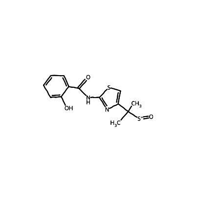 CC(C)([S+]=O)c1csc(NC(=O)c2ccccc2O)n1